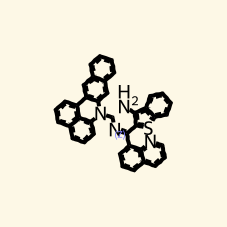 Nc1c(/C(=N\CN2c3cc4ccccc4cc3-c3cccc4cccc2c34)c2cccc3cccnc23)sc2ccccc12